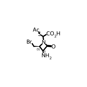 CC(=O)SC(C(=O)O)N1C(=O)[C@@H](N)[C@H]1CBr